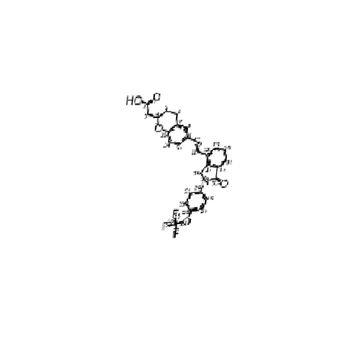 O=C(O)CC1CCc2cc(SCc3cccc4c3CN(c3ccc(OC(F)(F)F)cc3)C4=O)ccc2O1